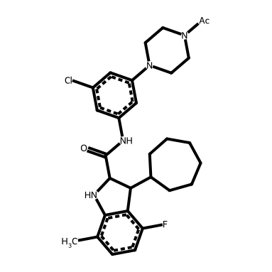 CC(=O)N1CCN(c2cc(Cl)cc(NC(=O)C3Nc4c(C)ccc(F)c4C3C3CCCCCC3)c2)CC1